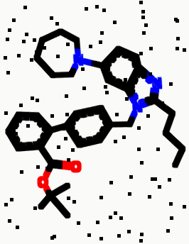 CCCCc1nc2ccc(N3CCCCCC3)cc2n1Cc1ccc(-c2ccccc2C(=O)OC(C)(C)C)cc1